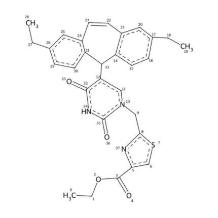 CCOC(=O)c1csc(Cn2cc(C3c4ccc(CC)cc4C=Cc4cc(CC)ccc43)c(=O)[nH]c2=O)n1